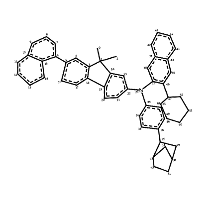 CC1(C)c2cc(-c3cccc4ccccc34)ccc2-c2ccc(N(c3ccc(C4CC5CCC4C5)cc3)c3cc4ccccc4cc3C3CCCCC3)cc21